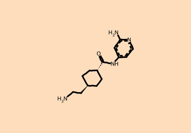 NCC[C@H]1CC[C@H](C(=O)Nc2ccnc(N)c2)CC1